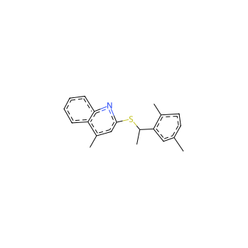 Cc1ccc(C)c(C(C)Sc2cc(C)c3ccccc3n2)c1